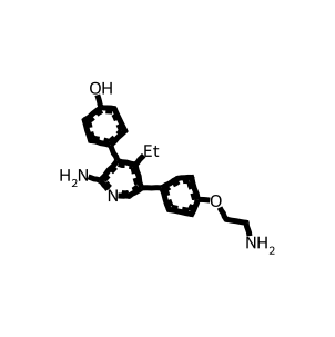 CCc1c(-c2ccc(OCCN)cc2)cnc(N)c1-c1ccc(O)cc1